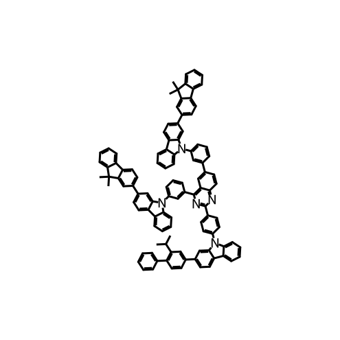 CC(C)c1cc(-c2ccc3c4ccccc4n(-c4ccc(-c5nc(-c6cccc(-n7c8ccccc8c8ccc(-c9ccc%10c(c9)C(C)(C)c9ccccc9-%10)cc87)c6)c6cc(-c7cccc(-n8c9ccccc9c9ccc(-c%10ccc%11c(c%10)C(C)(C)c%10ccccc%10-%11)cc98)c7)ccc6n5)cc4)c3c2)ccc1-c1ccccc1